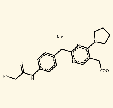 CC(C)CC(=O)Nc1ccc(Cc2ncc(CC(=O)[O-])c(N3CCCC3)n2)cc1.[Na+]